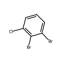 Clc1c[c]cc(Br)c1Br